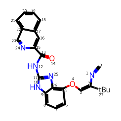 C=N/C(=C\Oc1cccc2[nH]c(NC(=O)c3cc4ccccc4cn3)nc12)C(C)(C)C